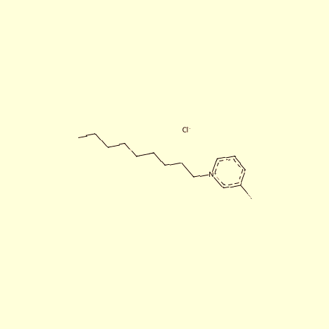 CCCCCCCCC[n+]1cccc(C)c1.[Cl-]